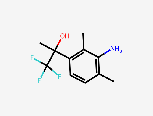 Cc1ccc(C(C)(O)C(F)(F)F)c(C)c1N